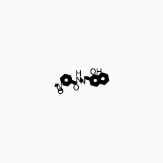 C[N+](=O)c1cccc(C(=O)N/N=C/c2ccc3ccccc3c2O)c1